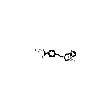 CCN(CCc1ccc(C(=O)OC)cc1)Cc1ncc[nH]1